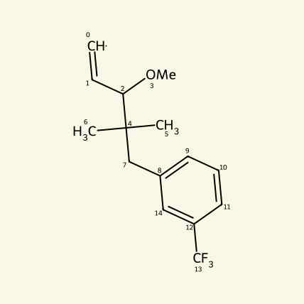 [CH]=CC(OC)C(C)(C)Cc1cccc(C(F)(F)F)c1